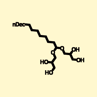 CCCCCCCCCCCCCCCCC[C](OCC(O)CO)OCC(O)CO